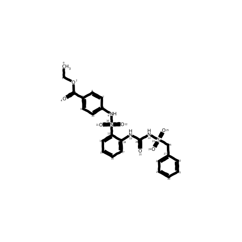 CCOC(=O)c1ccc(NS(=O)(=O)c2ccccc2NC(=O)NS(=O)(=O)Cc2ccccc2)cc1